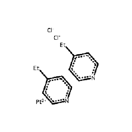 CCc1ccncc1.CCc1ccncc1.[Cl-].[Cl-].[Pt+2]